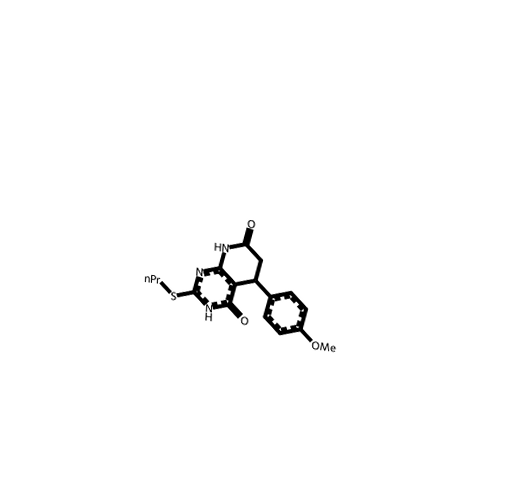 CCCSc1nc2c(c(=O)[nH]1)C(c1ccc(OC)cc1)CC(=O)N2